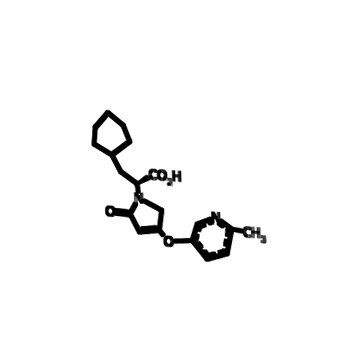 Cc1ccc(OC2=CC(=O)N([C@@H](CC3CCCCC3)C(=O)O)C2)cn1